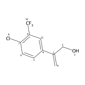 C=C(CO)c1ccc(Cl)c(C(F)(F)F)c1